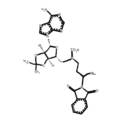 CC1(C)O[C@@H]2[C@H](O1)[C@@H](CN(CCC(N1C(=O)c3ccccc3C1=O)C(C)(C)C)C(=O)O)O[C@H]2n1cnc2c(N)ncnc21